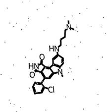 CN(C)CCCCNc1ccc2c(c1)c1c3c(c(-c4ccccc4Cl)cc1n2C)C(=O)NC3=O